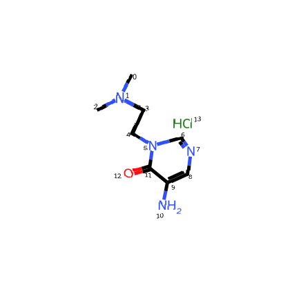 CN(C)CCn1cncc(N)c1=O.Cl